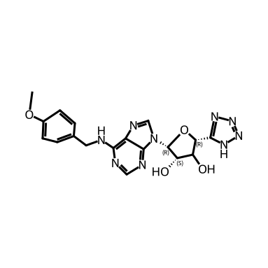 COc1ccc(CNc2ncnc3c2ncn3[C@@H]2O[C@H](c3nnn[nH]3)C(O)[C@@H]2O)cc1